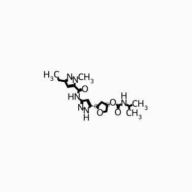 CCc1cc(C(=O)Nc2cc([C@@H]3C[C@H](OC(=O)NC(C)C)CO3)[nH]n2)n(C)n1